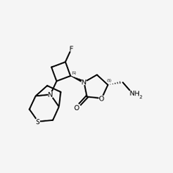 NC[C@H]1CN([C@@H]2C(F)CC2N2C3CCC2CSC3)C(=O)O1